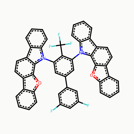 Fc1cc(F)cc(-c2cc(-n3c4ccccc4c4ccc5c6ccccc6oc5c43)c(C(F)(F)F)c(-n3c4ccccc4c4ccc5c6ccccc6oc5c43)c2)c1